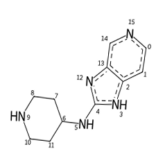 c1cc2[nH]c(NC3CCNCC3)nc2cn1